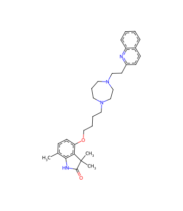 Cc1ccc(OCCCCN2CCCN(CCc3ccc4ccccc4n3)CC2)c2c1NC(=O)C2(C)C